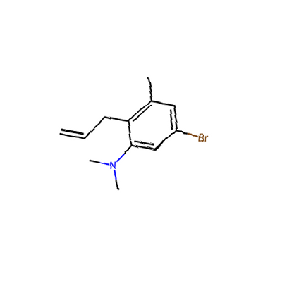 C=CCc1c(C)cc(Br)cc1N(C)C